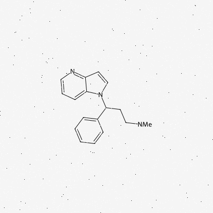 CNCCC(c1ccccc1)n1ccc2ncccc21